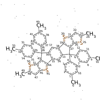 Cc1ccc(C2(c3ccc(C)cc3)c3cc4c(cc3-c3sc5cc(C)sc5c32)C(c2ccc(C)cc2)(c2ccc(C)cc2)c2c-4sc3cc(C)sc23)cc1